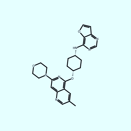 Cc1cnc2cc(N3CCOCC3)nc(O[C@H]3CC[C@@H](Nc4ncnc5ccoc45)CC3)c2c1